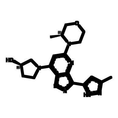 Cc1cc(-c2nsc3c(N4CC[C@@H](O)C4)cc(N4CCOC[C@H]4C)nc23)[nH]n1